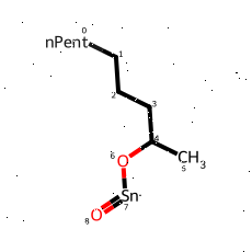 CCCCCCCCC(C)[O][Sn]=[O]